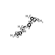 COc1cnc2c(-c3nc4cc(F)c(OC[C@@H](C)OC(=O)Nc5cnc(C(=O)N(C)C)nc5)cc4s3)cc(C)cc2n1